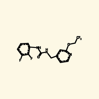 O=C(NCc1ccnc(OCC(F)(F)F)c1)Nc1cccc(F)c1F